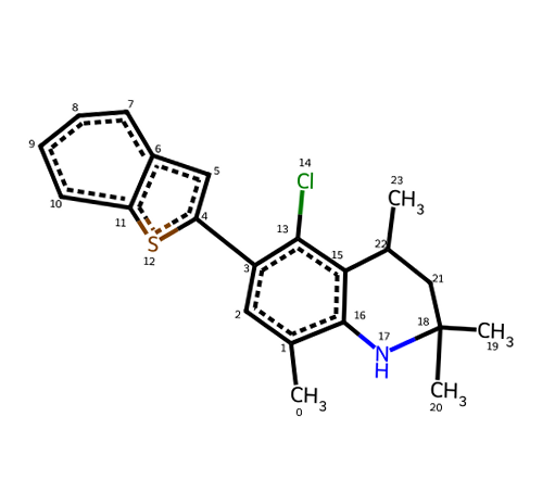 Cc1cc(-c2cc3ccccc3s2)c(Cl)c2c1NC(C)(C)CC2C